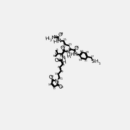 CC(C)[C@H](NC(=O)CCCCCN1C(=O)C=CC1=O)C(=O)N[C@@H](CCCNC(N)=O)C(=O)Nc1ccc(C[SiH3])cc1